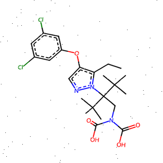 CCc1c(Oc2cc(Cl)cc(Cl)c2)cnn1C(CN(C(=O)O)C(=O)O)(C(C)(C)C)C(C)(C)C